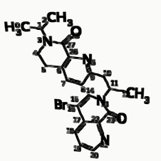 CC(C)N1CCc2ccc(CC(C)n3cc(Br)c4cccnc4c3=O)nc2C1=O